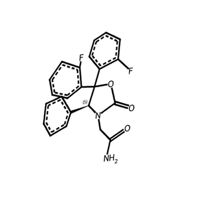 NC(=O)CN1C(=O)OC(c2ccccc2F)(c2ccccc2F)[C@@H]1c1ccccc1